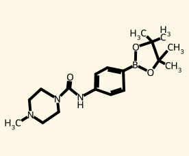 CN1CCN(C(=O)Nc2ccc(B3OC(C)(C)C(C)(C)O3)cc2)CC1